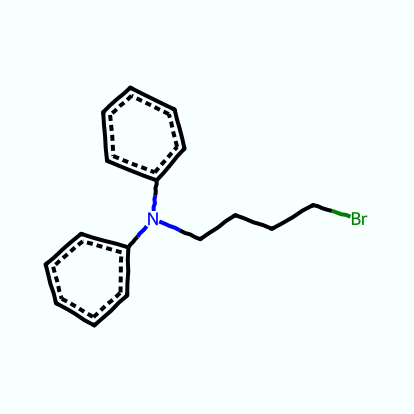 BrCCCCN(c1ccccc1)c1ccccc1